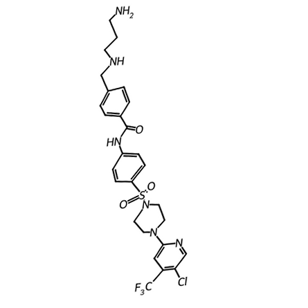 NCCCNCc1ccc(C(=O)Nc2ccc(S(=O)(=O)N3CCN(c4cc(C(F)(F)F)c(Cl)cn4)CC3)cc2)cc1